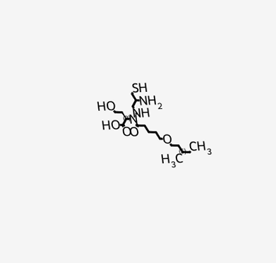 CC[C@H](C)CCOCCCCC(=O)N(NCC(N)CS)[C@H](CCO)C(=O)O